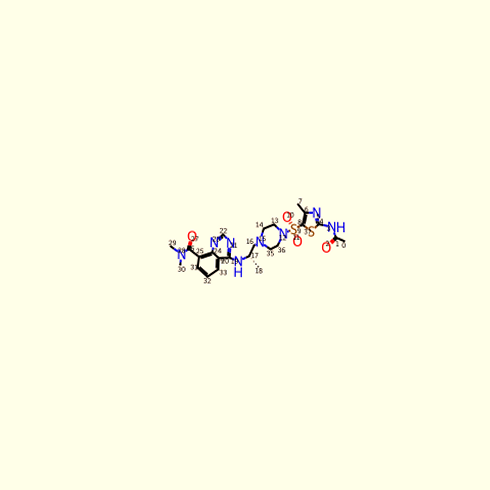 CC(=O)Nc1nc(C)c(S(=O)(=O)N2CCN(C[C@H](C)Nc3ncnc4c(C(=O)N(C)C)cccc34)CC2)s1